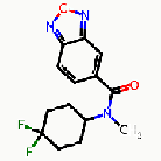 CN(C(=O)c1ccc2nonc2c1)C1CCC(F)(F)CC1